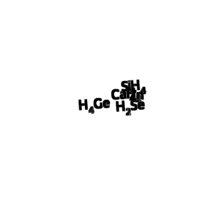 [CaH2].[GeH4].[SeH2].[SiH4].[Zn]